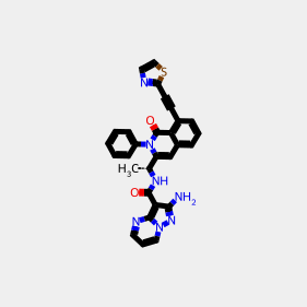 C[C@@H](NC(=O)c1c(N)nn2cccnc12)c1cc2cccc(C#Cc3nccs3)c2c(=O)n1-c1ccccc1